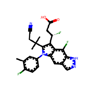 Cc1cc(-n2c(C(C)(C)CC#N)c([C@@H](F)CC(=O)O)c3c(F)c4[nH]ncc4cc32)ccc1F